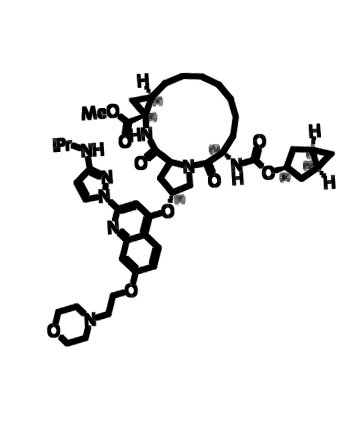 COC(=O)[C@@]12C[C@H]1CCCCCCC[C@H](NC(=O)O[C@@H]1C[C@@H]3C[C@@H]3C1)C(=O)N1C[C@H](Oc3cc(-n4ccc(NC(C)C)n4)nc4cc(OCCN5CCOCC5)ccc34)CC1C(=O)N2